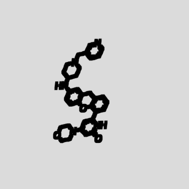 O=c1cc(N2CCOCC2)cc(-c2cccc3c2Oc2ccc(NC4CCN(Cc5cccnc5)CC4)cc2C3)[nH]1